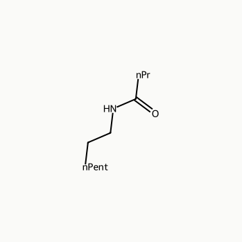 [CH2]CCC(=O)NCCCCCCC